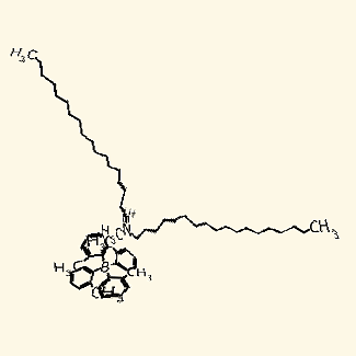 CCCCCCCCCCCCCCCCCC[NH+](C)CCCCCCCCCCCCCCCCCC.Cc1ccccc1[B-](c1ccccc1C)(c1ccccc1C)c1ccccc1C